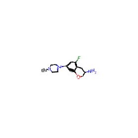 CC(C)(C)N1CCN(c2cc(F)c3c(c2)OCC(N)C3)CC1